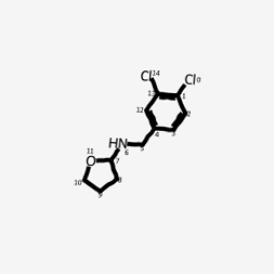 Clc1ccc(CNC2CCCO2)cc1Cl